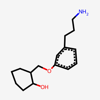 NCCCc1cccc(OCC2CCCCC2O)c1